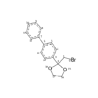 BrCC1(c2ccc(-c3ccccc3)cc2)OCCO1